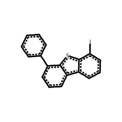 Ic1cccc2c1sc1c(-c3ccccc3)cccc12